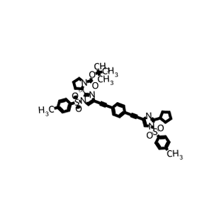 Cc1ccc(S(=O)(=O)n2cc(C#Cc3ccc(C#Cc4cn(S(=O)(=O)c5ccc(C)cc5)c([C@@H]5CCCN5C(=O)OC(C)(C)C)n4)cc3)nc2C2CCCC2)cc1